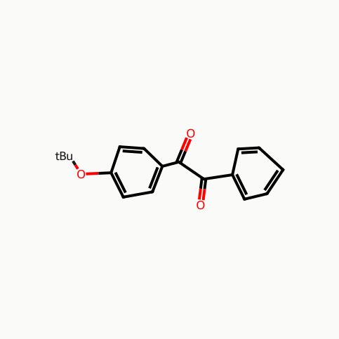 CC(C)(C)Oc1ccc(C(=O)C(=O)c2ccccc2)cc1